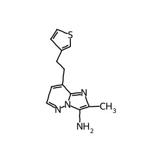 Cc1nc2c(CCc3ccsc3)ccnn2c1N